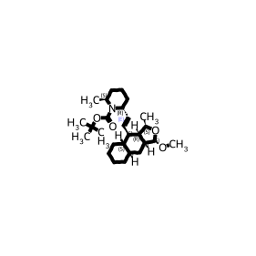 CO[C@H]1O[C@@H](C)[C@@H]2[C@H](/C=C/[C@H]3CCC[C@H](C)N3C(=O)OC(C)(C)C)[C@H]3CCCC[C@@H]3C[C@H]12